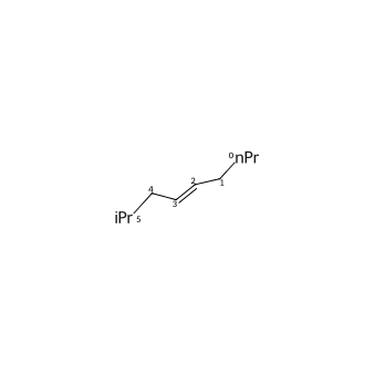 [CH2]CCCC=CCC(C)C